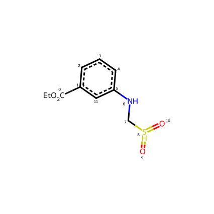 CCOC(=O)c1cccc(NC[SH](=O)=O)c1